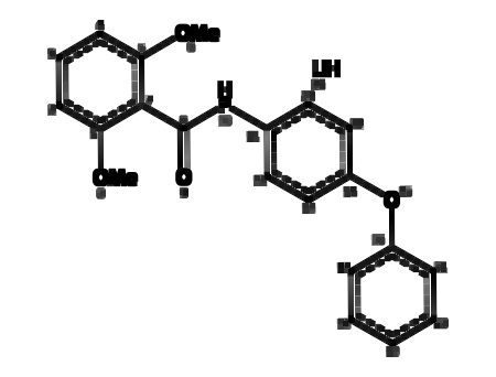 COc1cccc(OC)c1C(=O)Pc1ccc(Oc2ccccc2)cc1.[LiH]